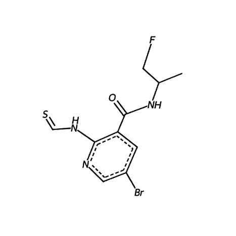 CC(CF)NC(=O)c1cc(Br)cnc1NC=S